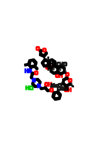 CO[C@H]1C[C@H](O[C@H]2CC[C@]3(C=O)[C@H]4CC[C@]5(C)[C@@H](C6=CC(=O)OC6)CC[C@]5(O)[C@@H]4CC[C@]3(O)C2)O[C@H](C)[C@H]1O.COc1ccccc1OCC(O)CN1CCN(CC(=O)Nc2c(C)cccc2C)CC1.Cl